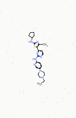 CCN1CCN(c2ccc(Nc3nccc(-c4sc(NC5CCCC5)nc4C)n3)nc2)CC1